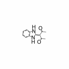 CC(=O)C(C(C)=O)=C1Nc2ccccc2N1